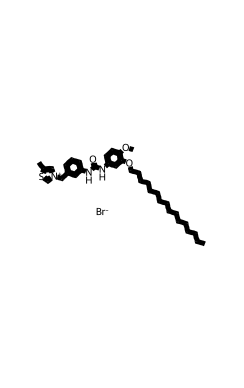 CCCCCCCCCCCCCCCCOc1cc(NC(=O)Nc2cccc(C[n+]3csc(C)c3)c2)ccc1OC.[Br-]